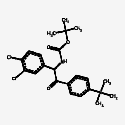 CC(C)(C)OC(=O)NC(C(=O)c1ccc([Si](C)(C)C)cc1)c1ccc(Cl)c(Cl)c1